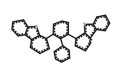 c1ccc(-c2c(-c3cccc4c3sc3ccccc34)cccc2-c2cccc3c2sc2ccccc23)cc1